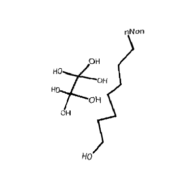 CCCCCCCCCCCCCCCCO.OC(O)(O)C(O)(O)O